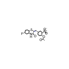 CC(=O)Oc1ccc(/C=C2/Sc3ccc(F)cc3NC2=O)cc1[N+](=O)[O-]